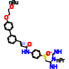 CCCCOCCOc1ccc(-c2cccc(/C=C/C(=O)Nc3ccc([S+]([O-])CC(=N)N(C=N)CCC)cc3)c2)cc1